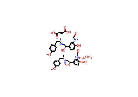 COc1ccc(C[C@@H](C)NC[C@H](O)c2ccc(O)c(NC=O)c2)cc1.COc1ccc(C[C@@H](C)NC[C@H](O)c2ccc(O)c(NC=O)c2)cc1.O.O.O=C(O)/C=C/C(=O)O